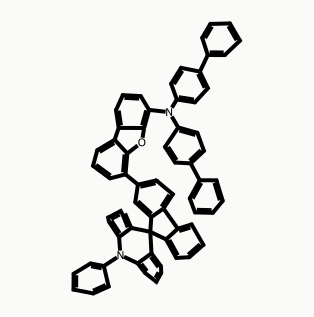 c1ccc(-c2ccc(N(c3ccc(-c4ccccc4)cc3)c3cccc4c3oc3c(-c5ccc6c(c5)C5(c7ccccc7-6)c6ccccc6N(c6ccccc6)c6ccccc65)cccc34)cc2)cc1